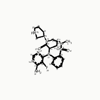 CN(C)S(=O)(=O)c1ccccc1N(c1ncnc(N)c1F)C1CCCN([C@@H]2CCCNC2)C1=O